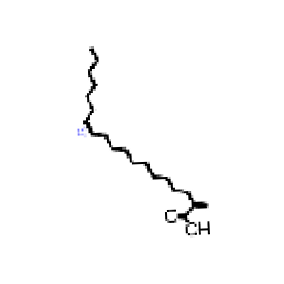 C=C(CCCCCCCCC/C=C\CCCCCC)C(=O)O